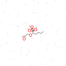 CCCCC(OCC1CO1)[Si](OC)(OC)OC